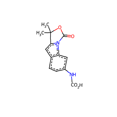 CC1(C)OC(=O)n2c1cc1ccc(NC(=O)O)cc12